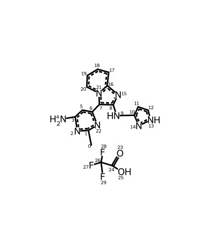 Cc1nc(N)cc(-c2c(Nc3cc[nH]n3)nc3ccccn23)n1.O=C(O)C(F)(F)F